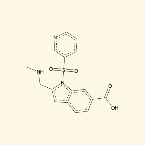 CNCc1cc2ccc(C(=O)O)cc2n1S(=O)(=O)c1cccnc1